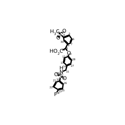 CS(=O)(=O)c1cccc(C(Oc2ccc(CNS(=O)(=O)c3ccc(F)cc3)cc2)C(=O)O)c1